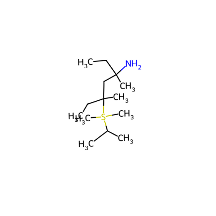 CCC(C)(N)CC(C)(CC)S(C)(C)C(C)C